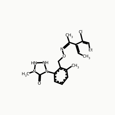 C/C=C(C(C)=NOCc1c(C)cccc1N1NNN(C)C1=O)\C(Cl)=C/CC